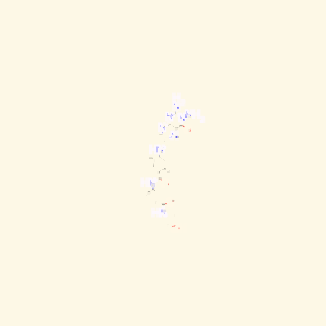 Nc1nc2ncc(CNc3ccc(C(=O)NC(CCC(=O)NCCO)C(=O)O)cc3)nc2c(=O)n1N